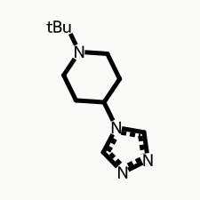 CC(C)(C)N1CCC(n2cnnc2)CC1